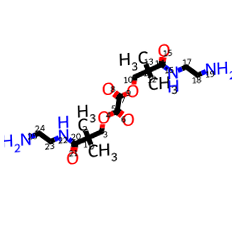 CC(C)(COC(=O)C(=O)OCC(C)(C)C(=O)NCCN)C(=O)NCCN